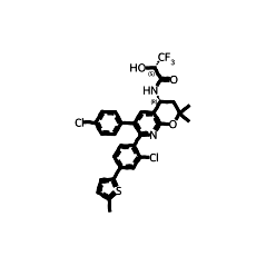 Cc1ccc(-c2ccc(-c3nc4c(cc3-c3ccc(Cl)cc3)[C@H](NC(=O)[C@H](O)C(F)(F)F)CC(C)(C)O4)c(Cl)c2)s1